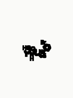 CC(C)[C@H](NC(=O)Cc1csc(-c2cccc(Br)c2)n1)C(=O)O